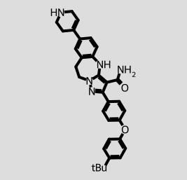 CC(C)(C)c1ccc(Oc2ccc(-c3nn4c(c3C(N)=O)Nc3ccc(C5=CCNCC5)cc3CC4)cc2)cc1